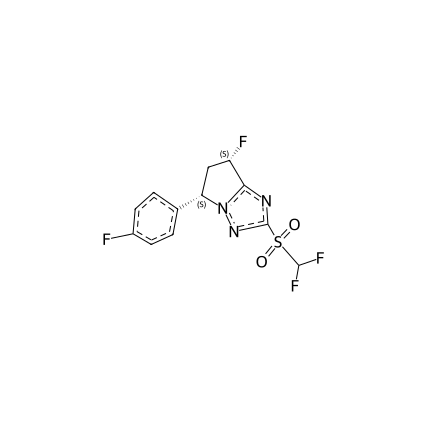 O=S(=O)(c1nc2n(n1)[C@H](c1ccc(F)cc1)C[C@@H]2F)C(F)F